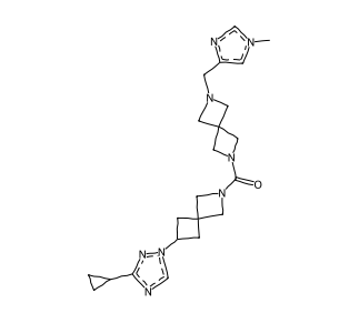 Cn1cnc(CN2CC3(C2)CN(C(=O)N2CC4(CC(n5cnc(C6CC6)n5)C4)C2)C3)c1